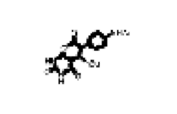 CCCCc1c(-c2ccc(NC(C)=O)cc2)c(=O)oc2[nH]c(=O)[nH]c(=O)c12